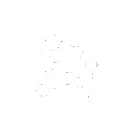 Cc1ccncc1C1CN(C(=O)[C@@H]2CC[C@@H]3CCCC(CNC(=O)c4cc5cc(CP(=O)(N[C@@H](C)C(=O)OC(C)C)Oc6ccccc6)ccc5s4)C(=O)N32)C1